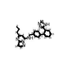 CCCc1cc(NCc2ccc(-c3ccccc3-c3nnn[nH]3)cc2)n2nccc2n1